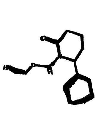 N=COBN1C(=O)CCCC1c1ccccc1